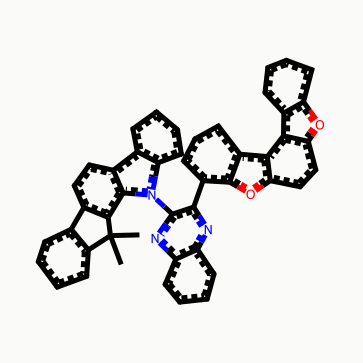 CC1(C)c2ccccc2-c2ccc3c4ccccc4n(-c4nc5ccccc5nc4-c4cccc5c4oc4ccc6oc7ccccc7c6c45)c3c21